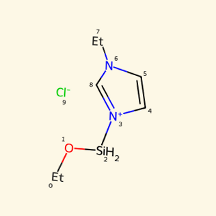 CCO[SiH2][n+]1ccn(CC)c1.[Cl-]